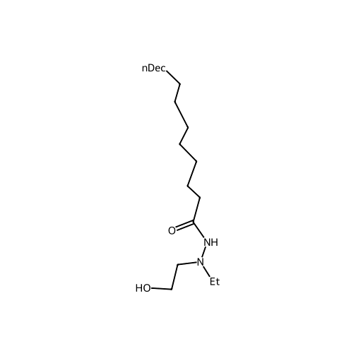 CCCCCCCCCCCCCCCCCC(=O)NN(CC)CCO